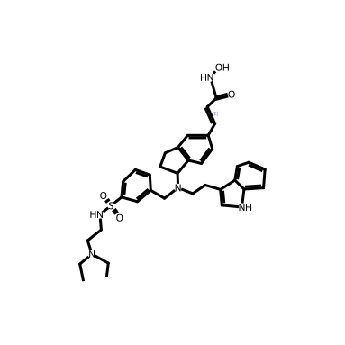 CCN(CC)CCNS(=O)(=O)c1cccc(CN(CCc2c[nH]c3ccccc23)C2CCc3cc(/C=C/C(=O)NO)ccc32)c1